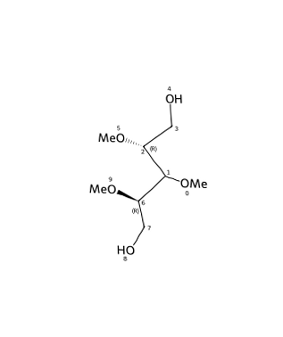 COC([C@@H](CO)OC)[C@@H](CO)OC